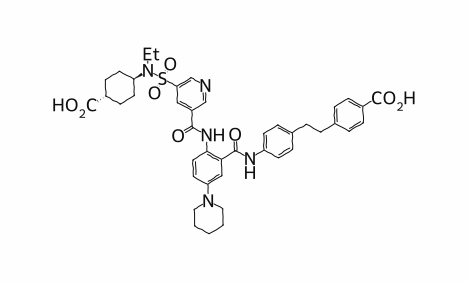 CCN([C@H]1CC[C@H](C(=O)O)CC1)S(=O)(=O)c1cncc(C(=O)Nc2ccc(N3CCCCC3)cc2C(=O)Nc2ccc(CCc3ccc(C(=O)O)cc3)cc2)c1